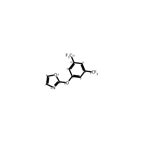 FC(F)(F)c1cc(Oc2nc[c]o2)cc(C(F)(F)F)c1